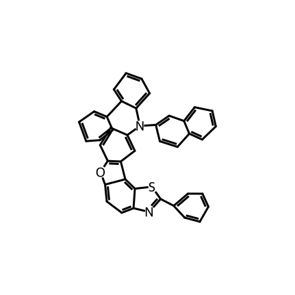 c1ccc(-c2nc3ccc4oc5ccc(N(c6ccc7ccccc7c6)c6ccccc6-c6ccccc6)cc5c4c3s2)cc1